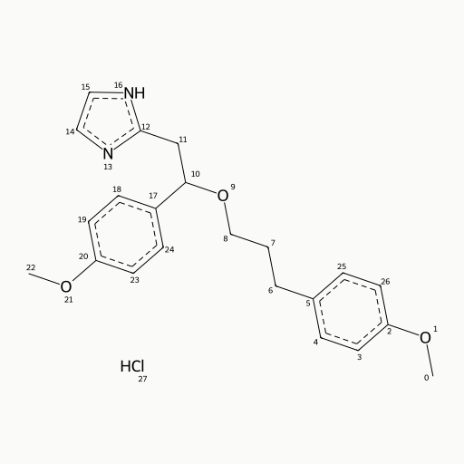 COc1ccc(CCCOC(Cc2ncc[nH]2)c2ccc(OC)cc2)cc1.Cl